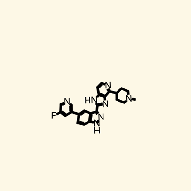 CN1CCC(c2nccc3[nH]c(-c4n[nH]c5ccc(-c6cncc(F)c6)cc45)nc23)CC1